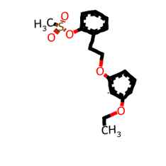 CCOc1[c]c(OCCc2ccccc2OS(C)(=O)=O)ccc1